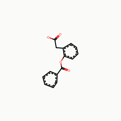 [O]C(=O)Cc1ccccc1OC(=O)c1ccccc1